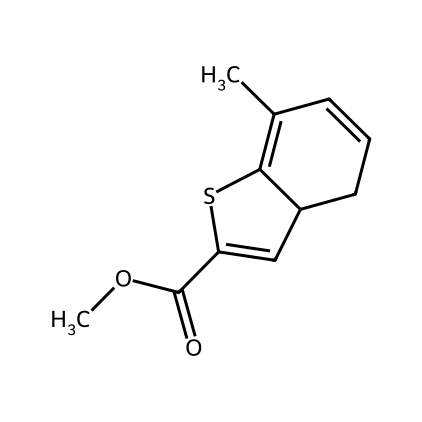 COC(=O)C1=CC2CC=CC(C)=C2S1